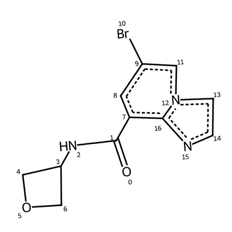 O=C(NC1COC1)c1cc(Br)cn2ccnc12